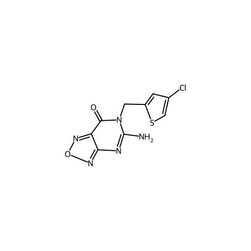 Nc1nc2nonc2c(=O)n1Cc1cc(Cl)cs1